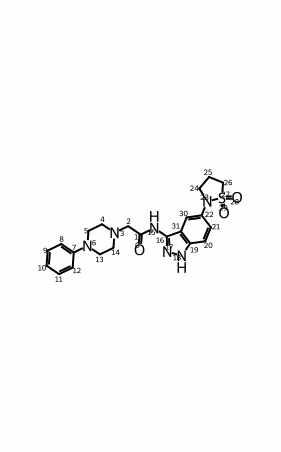 O=C(CN1CCN(c2ccccc2)CC1)Nc1n[nH]c2ccc(N3CCCS3(=O)=O)cc12